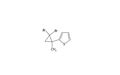 CC1(c2cccs2)CC1(Br)Br